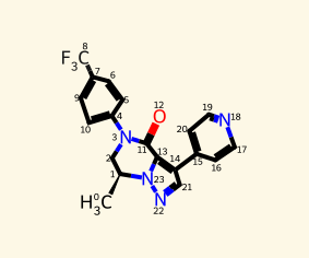 C[C@H]1CN(c2ccc(C(F)(F)F)cc2)C(=O)c2c(-c3ccncc3)cnn21